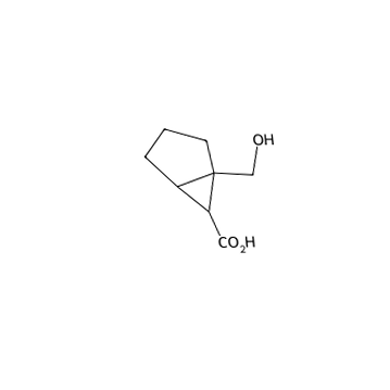 O=C(O)C1C2CCCC21CO